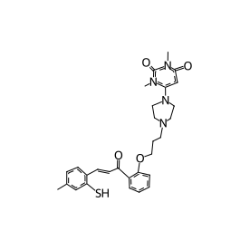 Cc1ccc(C=CC(=O)c2ccccc2OCCCN2CCN(c3cc(=O)n(C)c(=O)n3C)CC2)c(S)c1